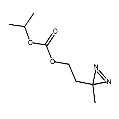 CC(C)OC(=O)OCCC1(C)N=N1